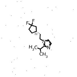 CC(C)c1nccn1CC[C@@H]1CCC(F)(F)C1